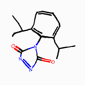 CC(C)c1cccc(C(C)C)c1N1C(=O)N=NC1=O